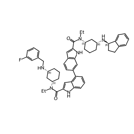 CCN(C(=O)c1cc2ccc(-c3cccc4[nH]c(C(=O)N(CC)[C@H]5CCC[C@@H](NCc6cccc(F)c6)C5)cc34)cc2[nH]1)[C@H]1CCC[C@@H](N[C@@H]2CCc3ccccc32)C1